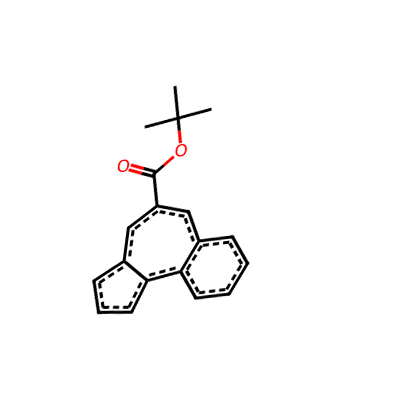 CC(C)(C)OC(=O)c1cc2cccc-2c2ccccc2c1